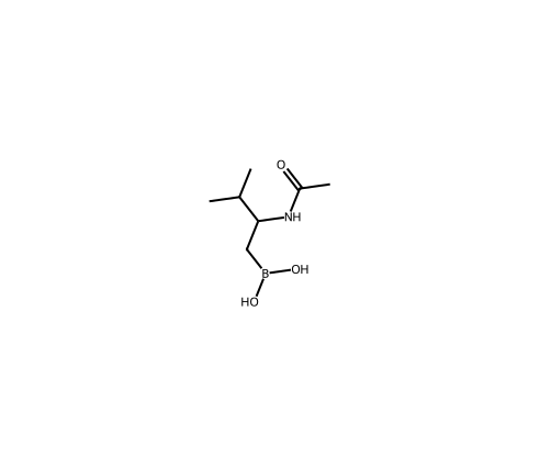 CC(=O)NC(CB(O)O)C(C)C